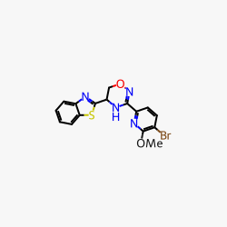 COc1nc(C2=NOCC(c3nc4ccccc4s3)N2)ccc1Br